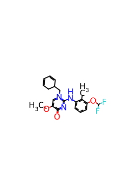 COc1cn(CC2C=CC=CC2)c(Nc2cccc(OC(F)F)c2C)nc1=O